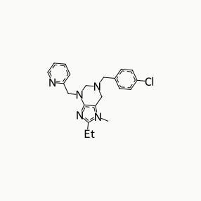 CCc1nc2c(n1C)CN(Cc1ccc(Cl)cc1)CN2Cc1ccccn1